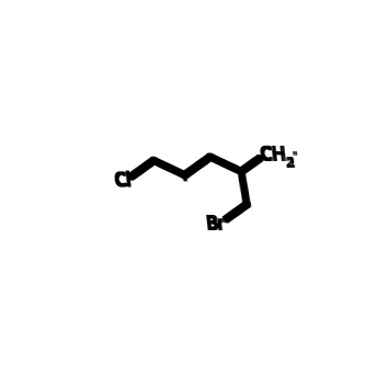 [CH2]C(CBr)C[CH]CCl